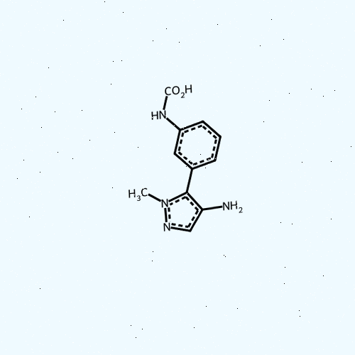 Cn1ncc(N)c1-c1cccc(NC(=O)O)c1